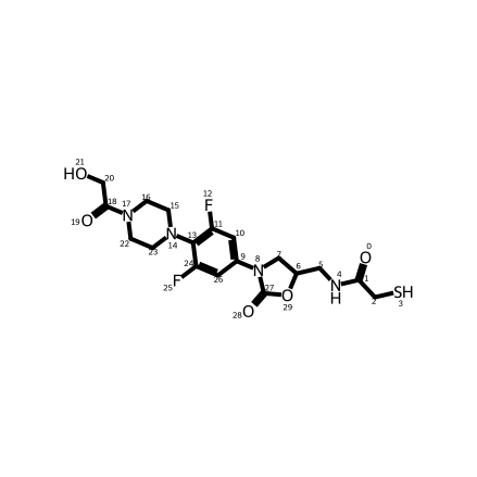 O=C(CS)NCC1CN(c2cc(F)c(N3CCN(C(=O)CO)CC3)c(F)c2)C(=O)O1